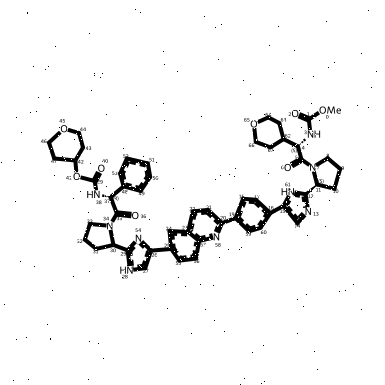 COC(=O)N[C@H](C(=O)N1CCC[C@H]1c1ncc(-c2ccc(-c3ccc4cc(-c5c[nH]c(C6CCCN6C(=O)[C@H](NC(=O)OC6CCOCC6)c6ccccc6)n5)ccc4n3)cc2)[nH]1)C1CCOCC1